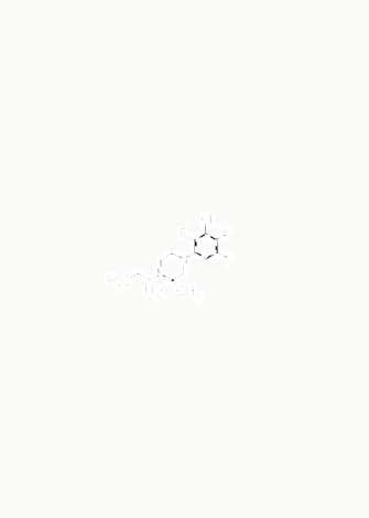 CCCN1CCN(c2cc(F)c(F)c(C)c2F)CC1(C)C